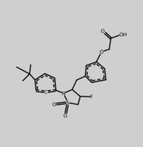 CC(C)(C)c1ccc(N2C(Cc3cccc(OCC(=O)O)c3)C(F)CS2(=O)=O)cc1